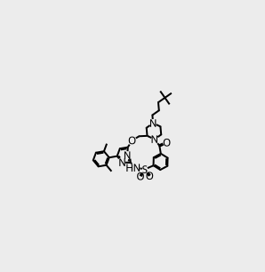 Cc1cccc(C)c1-c1cc2nc(n1)NS(=O)(=O)c1cccc(c1)C(=O)N1CCN(CCCC(C)(C)C)CC1CO2